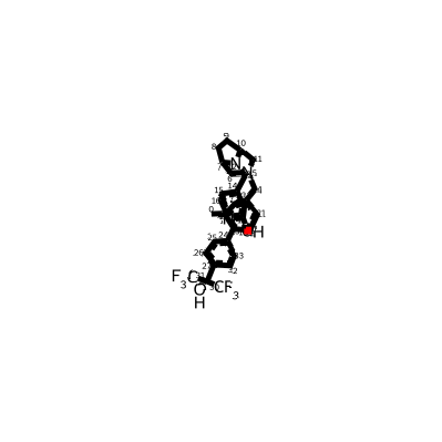 Cc1cc(CN2CC3CCC(C2)N3Cc2ccnc(O)c2)ccc1-c1ccc(C(O)(C(F)(F)F)C(F)(F)F)cc1